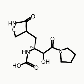 O=C(O)N[C@@H](CC1CCNC1=O)C(O)C(=O)N1CCCC1